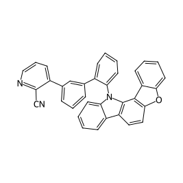 N#Cc1ncccc1-c1cccc(-c2ccccc2-n2c3ccccc3c3ccc4oc5ccccc5c4c32)c1